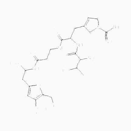 CC(C)Cc1oc(CC(NC(=O)CCNC(=O)C(CC2=CCN(C(=N)N)C2)NC(=O)C(N)C(C)O)C(=O)O)cc1C(=O)O